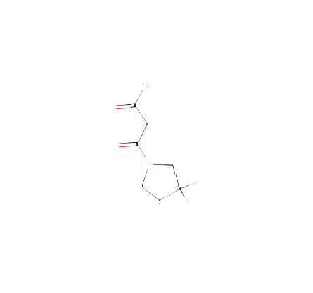 NC(=O)[CH]C(=O)N1CCC(F)(F)C1